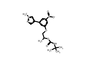 CC(COc1cc(-c2cnn(C)c2)cc([N+](=O)[O-])c1)OC(=O)NC(C)(C)C